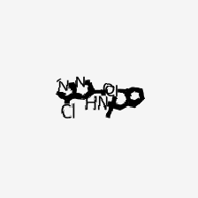 Cn1cc(Cl)c2cc(C(=O)NC(C)(C)Cc3ccccc3Cl)cnc21